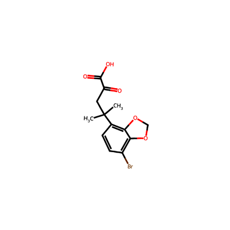 CC(C)(CC(=O)C(=O)O)c1ccc(Br)c2c1OCO2